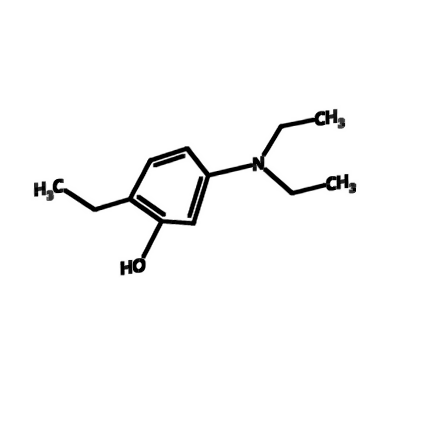 CCc1ccc(N(CC)CC)cc1O